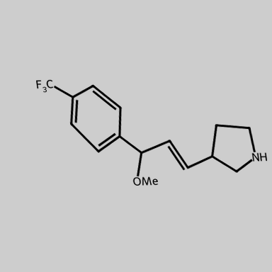 COC(/C=C/C1CCNC1)c1ccc(C(F)(F)F)cc1